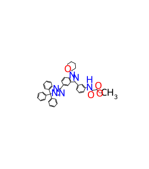 COC(=O)C(=O)Nc1cccc(-c2nn(C3CCCCO3)c3ccc(-c4ncn(C(c5ccccc5)(c5ccccc5)c5ccccc5)n4)cc23)c1